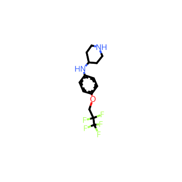 FC(F)(F)C(F)(F)COc1ccc(NC2CCNCC2)cc1